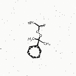 CCCC(F)OOC(C)(C)c1ccccc1